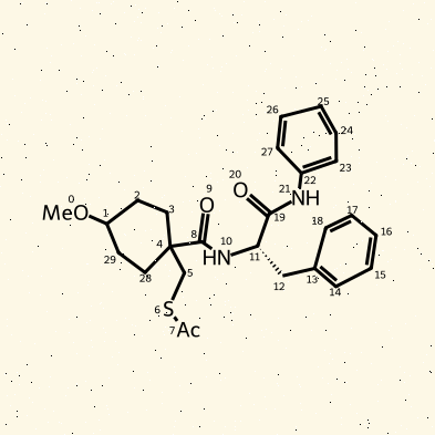 COC1CCC(CSC(C)=O)(C(=O)N[C@@H](Cc2ccccc2)C(=O)Nc2ccccc2)CC1